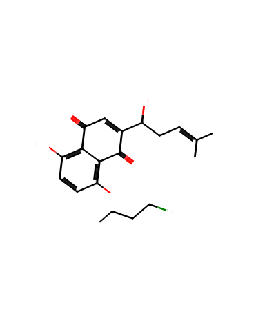 CC(C)=CCC(O)C1=CC(=O)c2c(O)ccc(O)c2C1=O.O=C(O)CCCBr